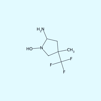 CC1(C(F)(F)F)CC(N)N(O)C1